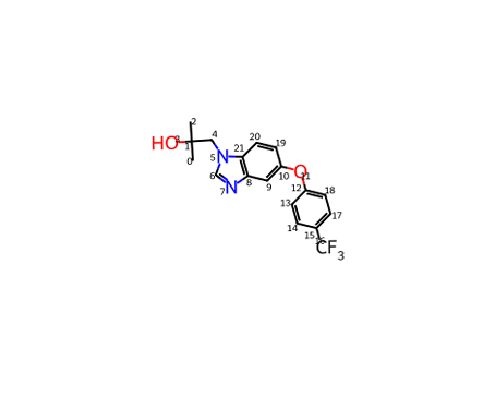 CC(C)(O)Cn1cnc2cc(Oc3ccc(C(F)(F)F)cc3)ccc21